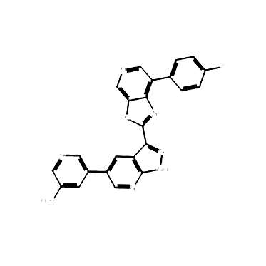 Nc1cncc(-c2cnc3[nH]nc(-c4nc5c(-c6ccc(F)cc6)cncc5[nH]4)c3c2)c1